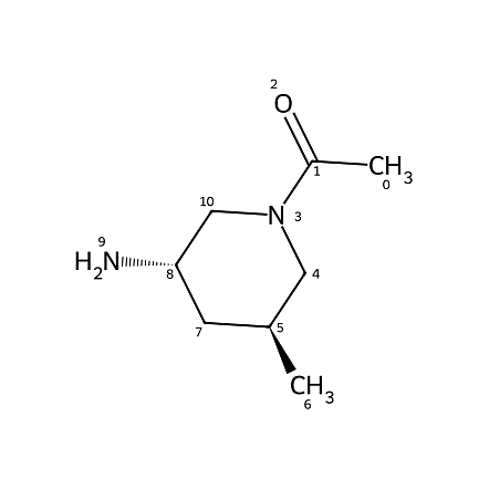 CC(=O)N1C[C@@H](C)C[C@H](N)C1